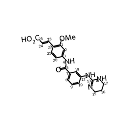 COc1cc(NC(=O)c2cccc(NC3=NCCCN3)c2)ccc1C=CC(=O)O